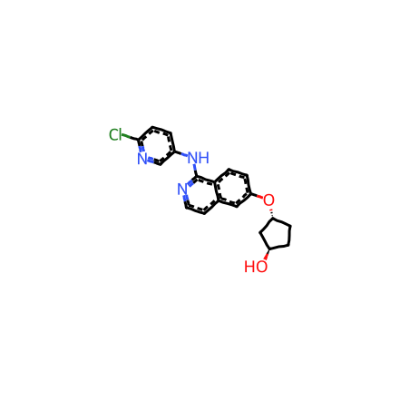 O[C@@H]1CC[C@@H](Oc2ccc3c(Nc4ccc(Cl)nc4)nccc3c2)C1